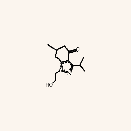 CC1CC(=O)c2c(C(C)C)nn(CCO)c2C1